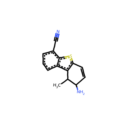 CC1c2c(sc3c(C#N)cccc23)C=CC1N